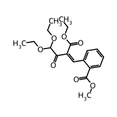 CCOC(=O)C(=Cc1ccccc1C(=O)OC)C(=O)C(OCC)OCC